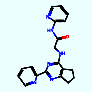 O=C(CNc1nc(-c2ccccn2)nc2c1CCC2)Nc1ccccn1